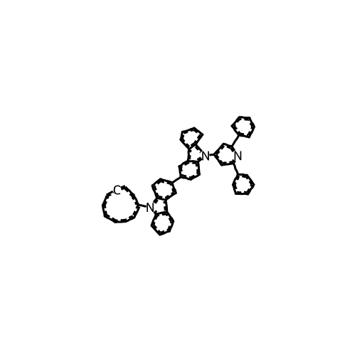 c1ccccc(-n2c3ccccc3c3cc(-c4ccc5c(c4)c4ccccc4n5-c4cc(-c5ccccc5)nc(-c5ccccc5)c4)ccc32)cccc1